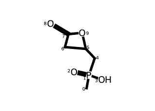 CP(=O)(O)CC1CC(=O)O1